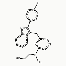 CN(CCO)c1cncc(Cc2c(-c3ccc(Cl)cc3)nc3ccccn23)n1